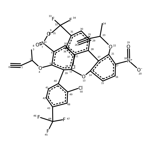 C#CC(C)Oc1c([N+](=O)[O-])ccc(Oc2ccc([N+](=O)[O-])c(OC(C)C#C)c2-c2ccc(C(F)(F)F)cc2Cl)c1-c1ccc(C(F)(F)F)cc1Cl